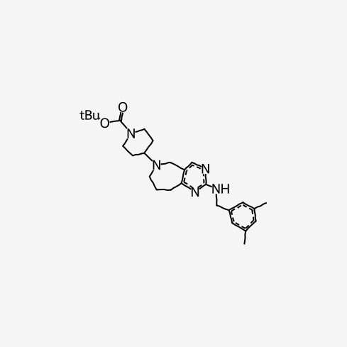 Cc1cc(C)cc(CNc2ncc3c(n2)CCCN(C2CCN(C(=O)OC(C)(C)C)CC2)C3)c1